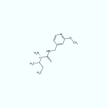 CCC(C)[C@H](N)C(=S)NCc1ccnc(OC)c1